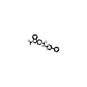 CC(=O)N1CC2(CCN(C(=O)Nc3ncc(-c4ccccc4)cn3)CC2)c2ccccc21